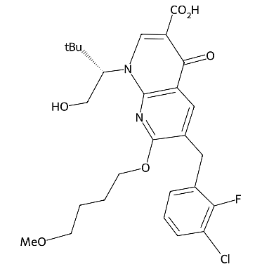 COCCCCOc1nc2c(cc1Cc1cccc(Cl)c1F)c(=O)c(C(=O)O)cn2[C@H](CO)C(C)(C)C